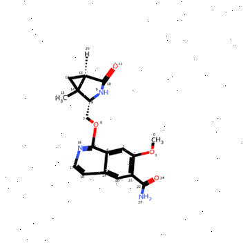 COc1cc2c(OC[C@H]3NC(=O)[C@@H]4CC34C)nccc2cc1C(N)=O